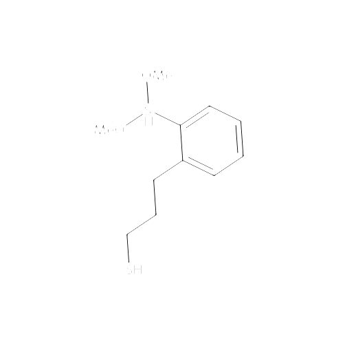 CO[SiH](OC)c1ccccc1CCCS